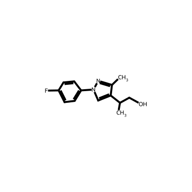 Cc1nn(-c2ccc(F)cc2)cc1C(C)CO